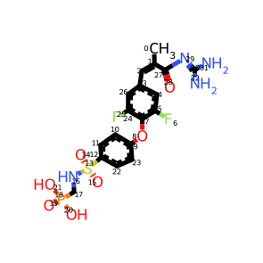 CC(=Cc1cc(F)c(Oc2ccc(S(=O)(=O)NCP(=O)(O)O)cc2)c(F)c1)C(=O)N=C(N)N